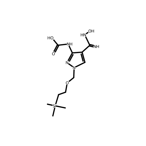 C[Si](C)(C)CCOCn1cc(C(=N)NO)c(NC(=O)O)n1